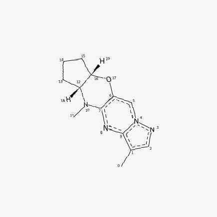 Cc1cnn2cc3c(nc12)N(C)[C@@H]1CCC[C@@H]1O3